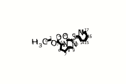 CCOC(=O)C1CCc2cnc(Sc3ccccn3)c(=O)n21